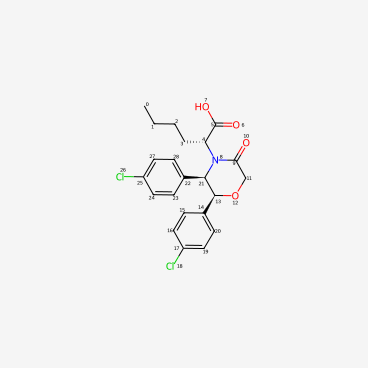 CCCC[C@H](C(=O)O)N1C(=O)CO[C@@H](c2ccc(Cl)cc2)[C@H]1c1ccc(Cl)cc1